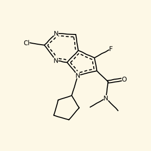 CN(C)C(=O)c1c(F)c2cnc(Cl)nc2n1C1CCCC1